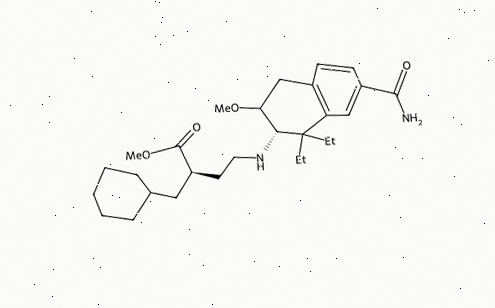 CCC1(CC)c2cc(C(N)=O)ccc2CC(OC)[C@H]1NCC[C@@H](CC1CCCCC1)C(=O)OC